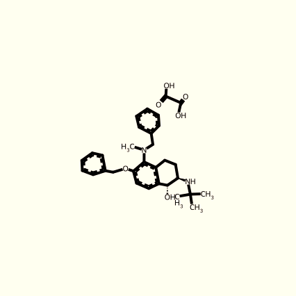 CN(Cc1ccccc1)c1c(OCc2ccccc2)ccc2c1CC[C@@H](NC(C)(C)C)[C@@H]2O.O=C(O)C(=O)O